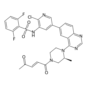 CC(=O)/C=C/C(=O)N1CCN(c2ncnc3ccc(-c4cnc(Cl)c(NS(=O)(=O)c5c(F)cccc5F)c4)cc23)[C@@H](C)C1